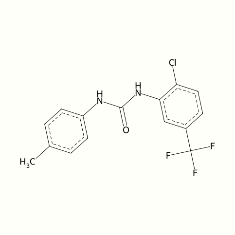 Cc1ccc(NC(=O)Nc2cc(C(F)(F)F)ccc2Cl)cc1